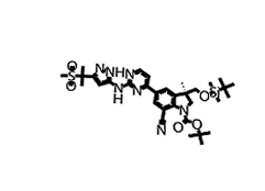 CC(C)(C)OC(=O)N1C[C@](C)(CO[Si](C)(C)C(C)(C)C)c2cc(-c3ccnc(Nc4cc(C(C)(C)S(C)(=O)=O)n[nH]4)n3)cc(C#N)c21